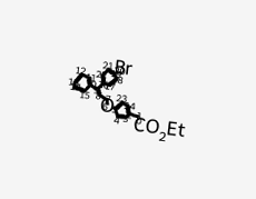 CCOC(=O)Cc1ccc(OCC=C(c2ccccc2)c2ccc(Br)cc2)cc1